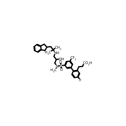 CN(CC(O)CNC(C)(C)CC1Cc2ccccc2C1)S(=O)(=O)c1cc(-c2ccc(F)cc2CCC(=O)O)cc(C(F)(F)F)c1